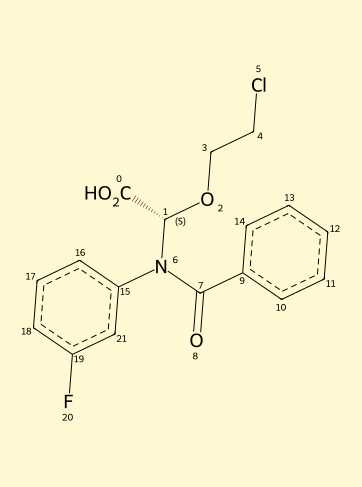 O=C(O)[C@H](OCCCl)N(C(=O)c1ccccc1)c1cccc(F)c1